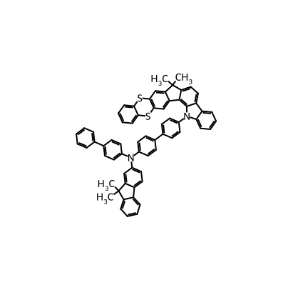 CC1(C)c2ccccc2-c2ccc(N(c3ccc(-c4ccccc4)cc3)c3ccc(-c4ccc(-n5c6ccccc6c6ccc7c(c65)-c5cc6c(cc5C7(C)C)Sc5ccccc5S6)cc4)cc3)cc21